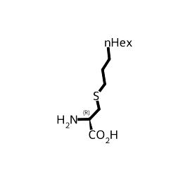 CCCCCCCCCSC[C@H](N)C(=O)O